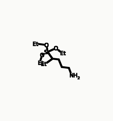 CCO[Si](OCC)(OCC)C(CC)CCCN